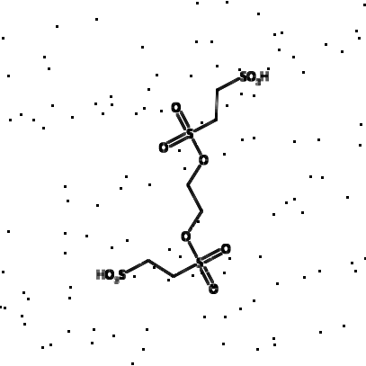 O=S(=O)(O)CCS(=O)(=O)OCCOS(=O)(=O)CCS(=O)(=O)O